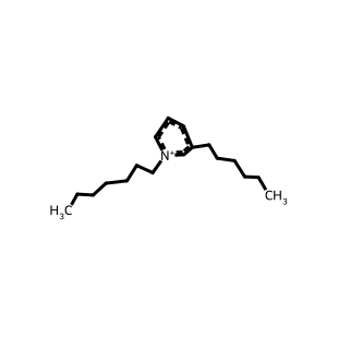 CCCCCCC[n+]1cccc(CCCCCC)c1